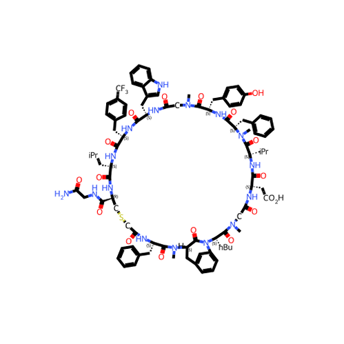 CCCC[C@H]1C(=O)N(C)CC(=O)N[C@@H](CC(=O)O)C(=O)N[C@@H](C(C)C)C(=O)N(C)[C@@H](Cc2ccccc2)C(=O)N[C@@H](Cc2ccc(O)cc2)C(=O)N(C)CC(=O)N[C@@H](Cc2c[nH]c3ccccc23)C(=O)N[C@@H](Cc2ccc(C(F)(F)F)cc2)C(=O)N[C@@H](CC(C)C)C(=O)N[C@H](C(=O)NCC(N)=O)CSCC(=O)N[C@@H](Cc2ccccc2)C(=O)N(C)[C@H]2Cc3cccc(c3)N1C2=O